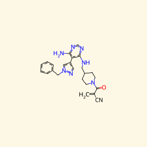 C=C(C#N)C(=O)N1CCC(CNc2ncnc(N)c2-c2cnn(Cc3ccccc3)c2)CC1